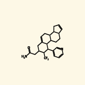 NC(=O)CC1CC2=CCC3C4CC=CC4CCC3C2C(c2cccnc2)C1C(F)(F)F